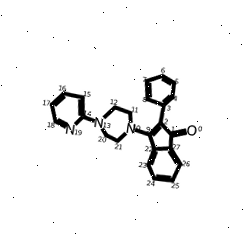 O=C1C(c2ccccc2)=C(N2CCN(c3ccccn3)CC2)c2ccccc21